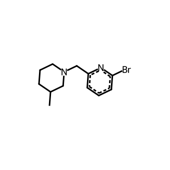 CC1CCCN(Cc2cccc(Br)n2)C1